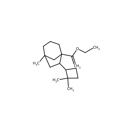 C=C(OCC)C12CCCC(C)(CC1C1CCC1(C)C)C2